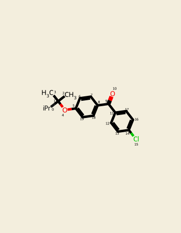 CC(C)C(C)(C)Oc1ccc(C(=O)c2ccc(Cl)cc2)cc1